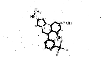 CN[C@@H]1CCN(CC(c2cccc(C(F)(F)F)c2)C2CCCCC2O)C1.Cl.Cl